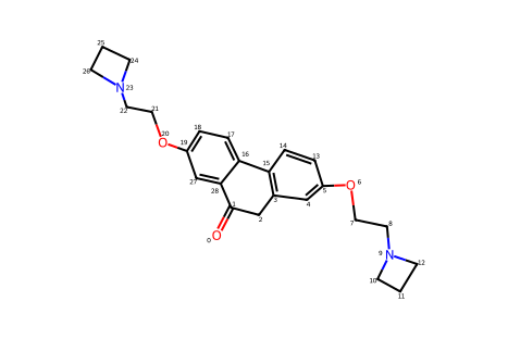 O=C1Cc2cc(OCCN3CCC3)ccc2-c2ccc(OCCN3CCC3)cc21